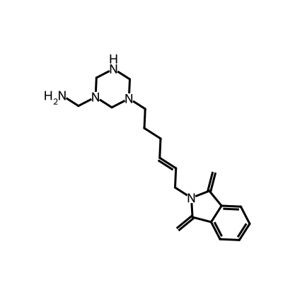 C=c1c2ccccc2c(=C)n1C/C=C/CCCN1CNCN(CN)C1